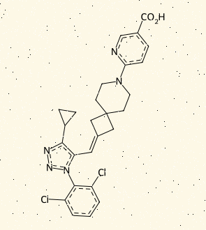 O=C(O)c1ccc(N2CCC3(CC2)CC(=Cc2c(C4CC4)nnn2-c2c(Cl)cccc2Cl)C3)nc1